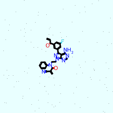 C=CC(=O)c1cc(F)cc(-c2nn(CCN(C(=O)C(=C)C#N)c3ccccc3)c3ncnc(N)c23)c1